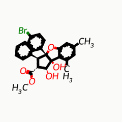 COC(=O)[C@H]1[C@@H](O)[C@@]2(O)c3c(C)cc(C)cc3O[C@@]2(c2ccc(Br)cc2)[C@@H]1c1ccccc1